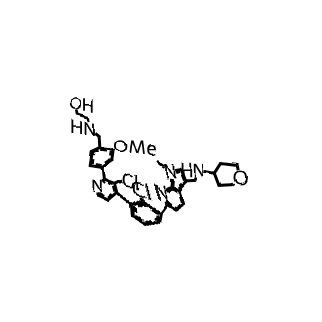 COc1cc(-c2nccc(-c3cccc(-c4ccc5c(CNC6CCOCC6)cn(C)c5n4)c3Cl)c2Cl)ccc1CNCCO